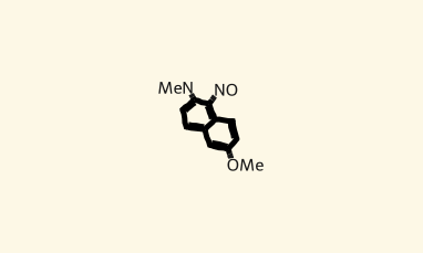 CNc1ccc2cc(OC)ccc2c1N=O